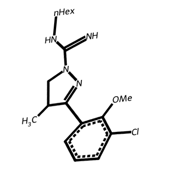 CCCCCCNC(=N)N1CC(C)C(c2cccc(Cl)c2OC)=N1